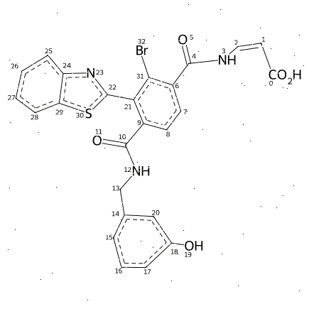 O=C(O)/C=C\NC(=O)c1ccc(C(=O)NCc2cccc(O)c2)c(-c2nc3ccccc3s2)c1Br